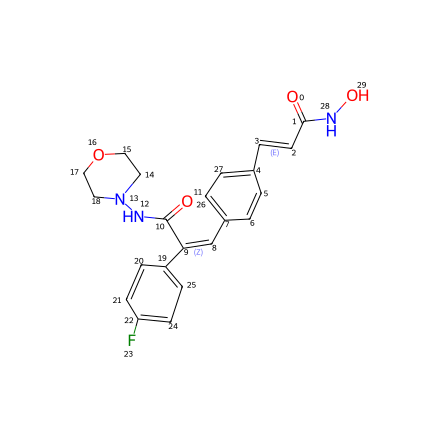 O=C(/C=C/c1ccc(/C=C(\C(=O)NN2CCOCC2)c2ccc(F)cc2)cc1)NO